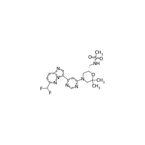 CC1(C)CN(c2cc(-c3cnc4ccc(C(F)F)nn34)ncn2)C[C@H](CNS(C)(=O)=O)O1